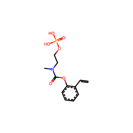 C=Cc1ccccc1OC(=O)N(C)CCOP(=O)(O)O